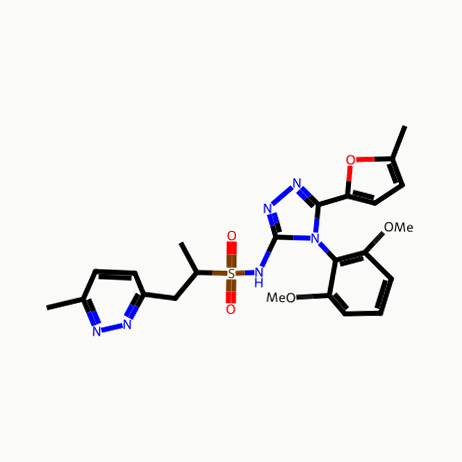 COc1cccc(OC)c1-n1c(NS(=O)(=O)C(C)Cc2ccc(C)nn2)nnc1-c1ccc(C)o1